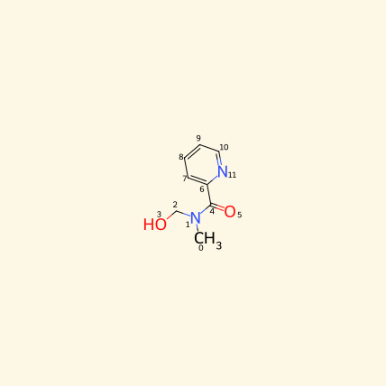 CN(CO)C(=O)c1ccccn1